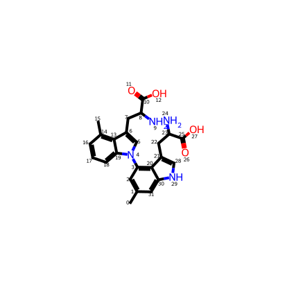 Cc1cc(-n2cc(CC(N)C(=O)O)c3c(C)cccc32)c2c(CC(N)C(=O)O)c[nH]c2c1